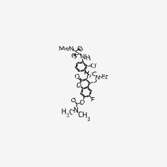 CCN(C)Cc1c(Cc2cccc(NS(=O)(=O)NC)c2Cl)c(=O)oc2cc(OC(=O)N(C)C)c(F)cc12